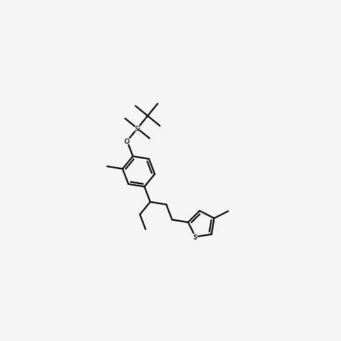 CCC(CCc1cc(C)cs1)c1ccc(O[Si](C)(C)C(C)(C)C)c(C)c1